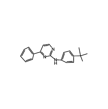 CC(C)(C)c1ccc(Nc2nccc(-c3ccccc3)n2)cc1